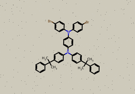 CC(C)(c1ccccc1)c1ccc(N(c2ccc(N(c3ccc(Br)cc3)c3ccc(Br)cc3)cc2)c2ccc(C(C)(C)c3ccccc3)cc2)cc1